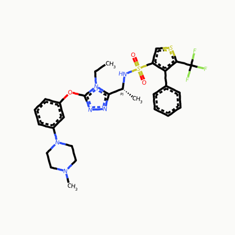 CCn1c(Oc2cccc(N3CCN(C)CC3)c2)nnc1[C@@H](C)NS(=O)(=O)c1csc(C(F)(F)F)c1-c1ccccc1